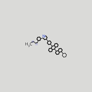 C/C=C\C=C/c1cccc(-c2cc(-c3ccc(-c4c5ccccc5c(-c5cccc6c(C7CCCCC7)cccc56)c5ccccc45)cc3)ccn2)c1